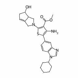 COC(=O)c1c(N2CC3=CCC(O)C3C2)sc(-c2ccc3c(c2)ncn3C2CCCCC2)c1N